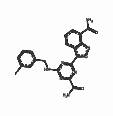 NC(=O)c1nc(NCc2cccc(F)c2)nc(-c2onc3c(C(N)=O)cccc23)n1